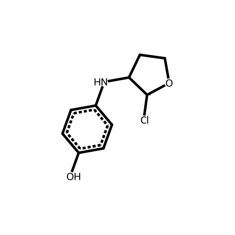 Oc1ccc(NC2CCO[C]2Cl)cc1